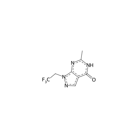 Cc1nc2c(cnn2CC(F)(F)F)c(=O)[nH]1